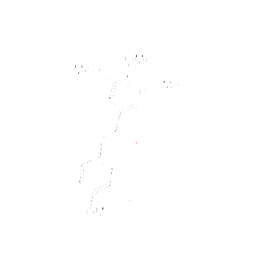 COc1ccc(CC(=O)c2cc(OC)c(OC)c(OC)c2)cc1O